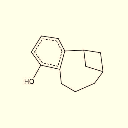 Oc1cccc2c1CCCC1CC2C1